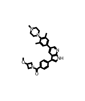 COC1CN(C(=O)c2ccc(-c3c[nH]c4ncc(-c5cc(C)c(N6CCN(C)CC6)c(C)c5)cc34)cc2)C1